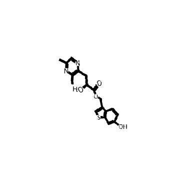 Cc1cnc(CC(O)C(=O)OCc2csc3cc(O)ccc23)c(C)n1